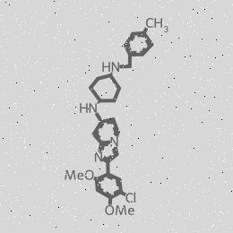 COc1cc(OC)c(-c2cn3ccc(N[C@H]4CC[C@@H](NCc5ccc(C)cc5)CC4)cc3n2)cc1Cl